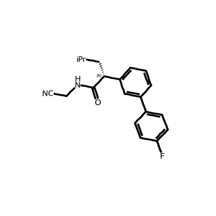 CC(C)C[C@@H](C(=O)NCC#N)c1cccc(-c2ccc(F)cc2)c1